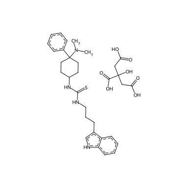 CN(C)C1(c2ccccc2)CCC(NC(=S)NCCCc2c[nH]c3ccccc23)CC1.O=C(O)CC(O)(CC(=O)O)C(=O)O